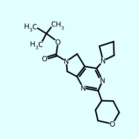 CC(C)(C)OC(=O)N1Cc2nc(C3CCOCC3)nc(N3CCC3)c2C1